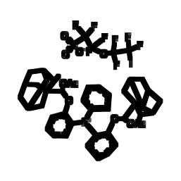 CC(=O)OC(Oc1ccccc1[S+](c1ccccc1)c1ccccc1OC(OC(C)=O)C12CC3CC(CC(C3)C1C)C2)C12CC3CC(CC(C3)C1C)C2.O=S(=O)([O-])C(F)(F)C(F)(F)OC(F)(F)C(F)(F)I